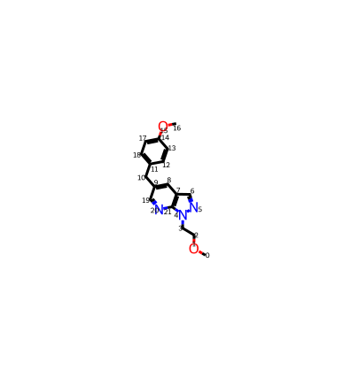 COCCn1ncc2cc(Cc3ccc(OC)cc3)cnc21